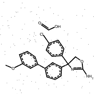 COc1cccc(-c2cccc(C3(c4ccc(Cl)cc4)COC(N)=N3)c2)c1.O=CO